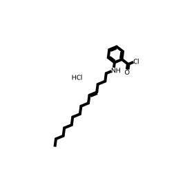 CCCCCCCCC/C=C/CCCNc1ccccc1C(=O)Cl.Cl